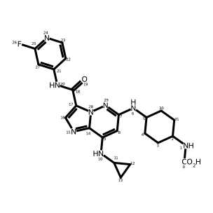 O=C(O)NC1CCC(Nc2cc(NC3CC3)c3ncc(C(=O)Nc4ccnc(F)c4)n3n2)CC1